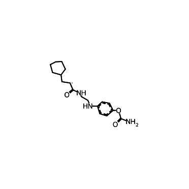 NC(=O)Oc1ccc(NCCNC(=O)[CH]CC2CCCCC2)cc1